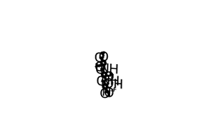 CC(C)OC(=O)c1ccc(NC(=O)c2ccc(NC(=O)c3ccc([N+](=O)[O-])cc3O)c(OC(C)C)c2)c(OC(C)C)c1